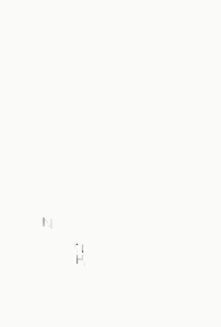 [CH2]CCc1cccc2[nH]ncc12